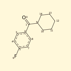 O=C(c1ccc(F)cc1)C1CCCCC1